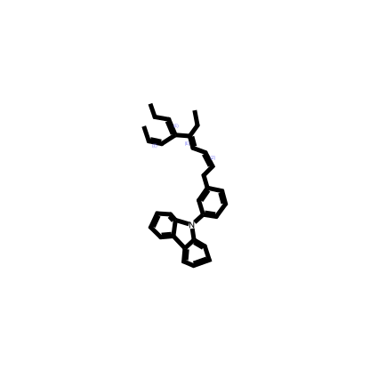 C\C=C/C(=C\CC)C(=C/C=C\Cc1cccc(-n2c3ccccc3c3ccccc32)c1)/CC